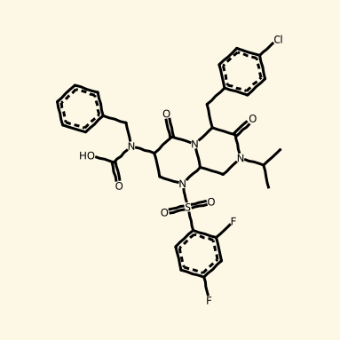 CC(C)N1CC2N(C(=O)C(N(Cc3ccccc3)C(=O)O)CN2S(=O)(=O)c2ccc(F)cc2F)C(Cc2ccc(Cl)cc2)C1=O